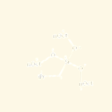 CCCCCCCCO[Si](CC(C)C)(OCCCCCCCC)OCCCCCCCC